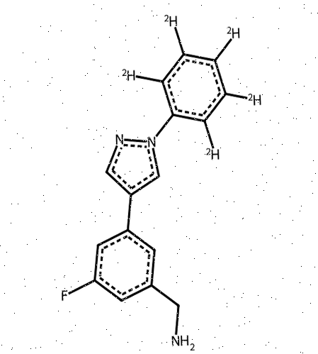 [2H]c1c([2H])c([2H])c(-n2cc(-c3cc(F)cc(CN)c3)cn2)c([2H])c1[2H]